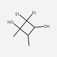 CCC1(CC)C(O)C(C)C1(C)O